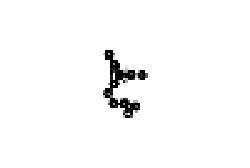 c1ccc(-c2ccc(-c3nc(-c4ccc(-c5ccccc5)cc4)nc(-c4ccc(-c5cccc(-c6cccc(-c7ccc8c(c7)C7(CCCCC7)c7ccccc7-8)c6)c5)cc4)n3)cc2)cc1